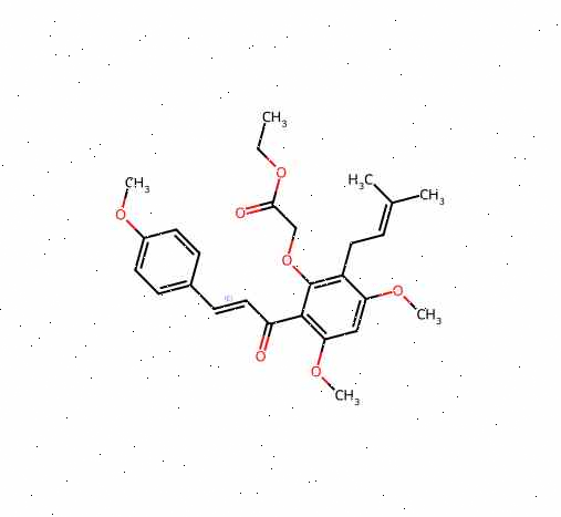 CCOC(=O)COc1c(CC=C(C)C)c(OC)cc(OC)c1C(=O)/C=C/c1ccc(OC)cc1